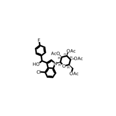 CC(=O)OC[C@H]1O[C@@H](n2cc(C(O)c3ccc(F)cc3)c3c(Cl)cccc32)[C@H](OC(C)=O)[C@@H](OC(C)=O)[C@@H]1OC(C)=O